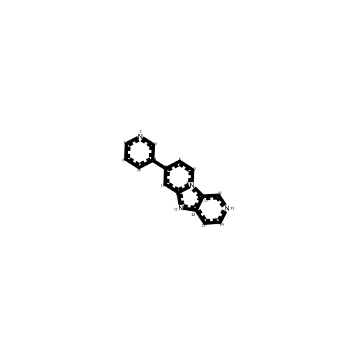 c1cncc(-c2ccn3c(c2)nc2ccncc23)c1